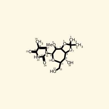 COC1C2OC(C)(C)OC2[C@H](O)C(CO)O[C@H]1n1cc(C)c(=O)[nH]c1=O